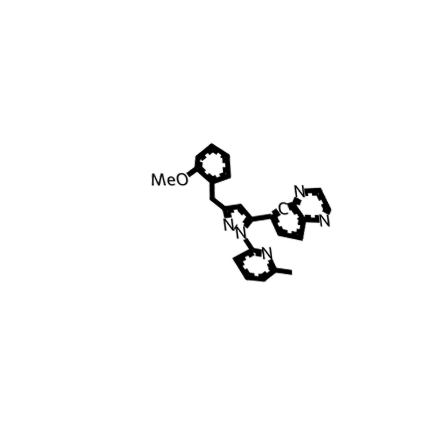 COc1ccccc1Cc1cc(-c2ccc3nccnc3c2)n(-c2cccc(C)n2)n1